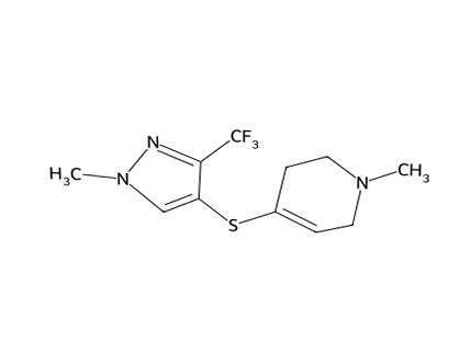 CN1CC=C(Sc2cn(C)nc2C(F)(F)F)CC1